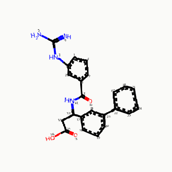 N=C(N)Nc1cccc(C(=O)NC(CC(=O)O)c2cccc(-c3ccccc3)c2)c1